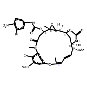 COc1cc2cc(c1Cl)N(C)C(=O)C[C@H](OC(=O)Nc1ccc([N+](=O)[O-])c(Br)c1)[C@]1(C)O[C@H]1[C@H](C)[C@@H]1C[C@@](O)(NC(=O)O1)[C@H](OC)/C=C/C=C(\C)C2